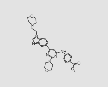 COC(=O)c1ccc(Nc2cc(-c3ccc4c(c3)ncn4CCN3CCOCC3)nc(N3CCOCC3)n2)cc1